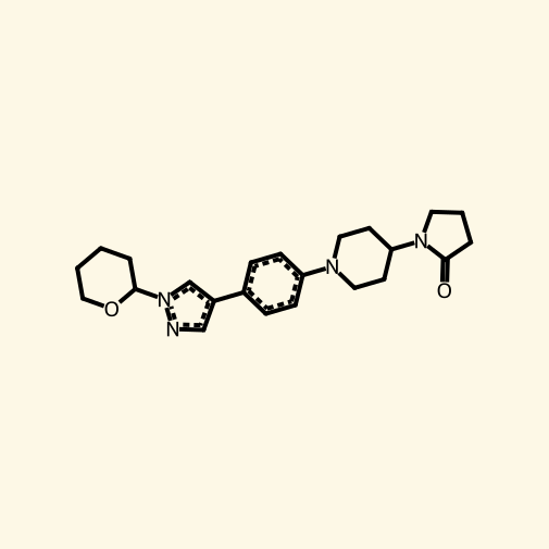 O=C1CCCN1C1CCN(c2ccc(-c3cnn(C4CCCCO4)c3)cc2)CC1